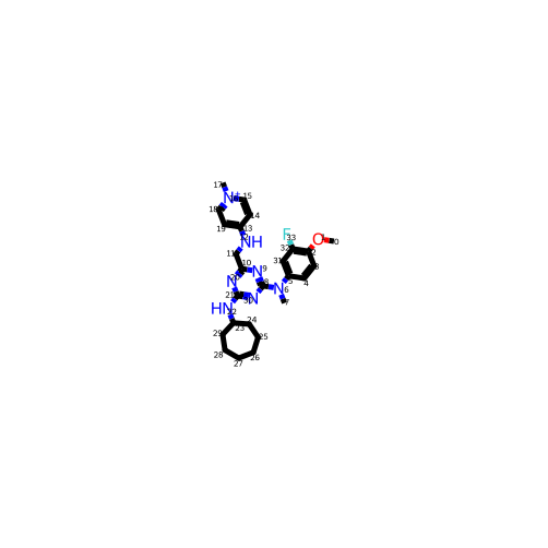 COc1ccc(N(C)c2nc(CNc3cc[n+](C)cc3)nc(NC3CCCCCC3)n2)cc1F